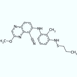 CCCSNc1cccc(Nc2ccc3ncc(OC)nc3c2C#N)c1C